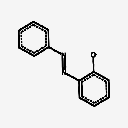 [O]c1ccccc1N=Nc1ccccc1